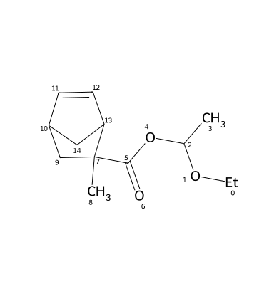 CCOC(C)OC(=O)C1(C)CC2C=CC1C2